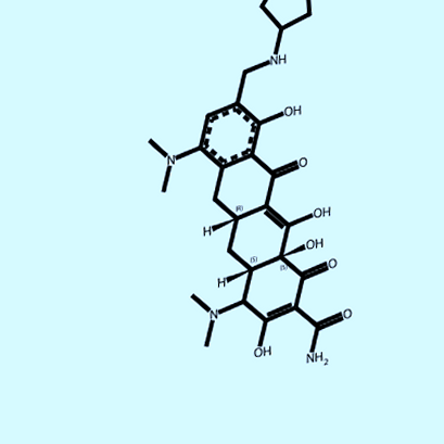 CN(C)c1cc(CNC2CCCC2)c(O)c2c1C[C@H]1C[C@H]3C(N(C)C)C(O)=C(C(N)=O)C(=O)[C@@]3(O)C(O)=C1C2=O